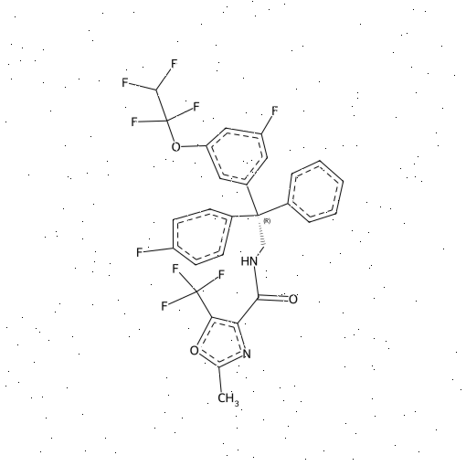 Cc1nc(C(=O)NC[C@](c2ccccc2)(c2ccc(F)cc2)c2cc(F)cc(OC(F)(F)C(F)F)c2)c(C(F)(F)F)o1